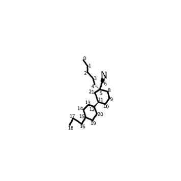 CCCCC[C@]1(C#N)CCC[C@@H](C2CCC(CCC)CC2)C1